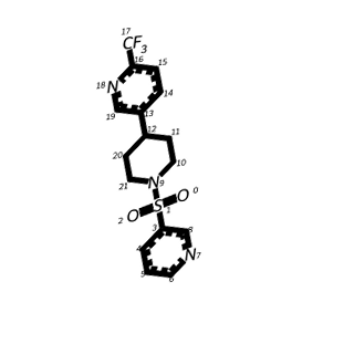 O=S(=O)(c1cccnc1)N1CCC(c2ccc(C(F)(F)F)nc2)CC1